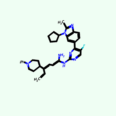 C=C/C(=C\C=C(/N)Nc1ncc(F)c(-c2ccc3nc(C)n(C4CCCC4)c3c2)n1)C1CCN(C(C)C)CC1